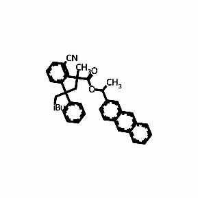 CCC(C)CC(CC(C)(CCC#N)C(=O)OC(C)c1ccc2cc3ccccc3cc2c1)(c1ccccc1)c1ccccc1